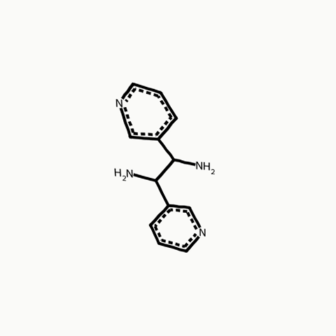 NC(c1cccnc1)C(N)c1cccnc1